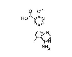 COc1ncc(-c2cc(C)c3c(N)ncnn23)cc1C(=O)O